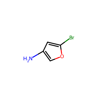 Nc1coc(Br)c1